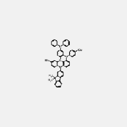 CC(C)(C)c1ccc(N2c3cc(N(c4ccccc4)c4ccccc4)ccc3B3c4cc(C(C)(C)C)ccc4N(c4ccc5c(c4)C(C)(C)c4ccccc4-5)c4cccc2c43)cc1